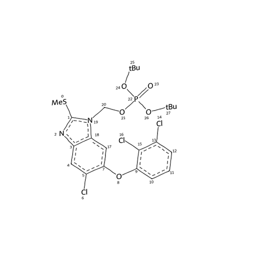 CSc1nc2cc(Cl)c(Oc3cccc(Cl)c3Cl)cc2n1COP(=O)(OC(C)(C)C)OC(C)(C)C